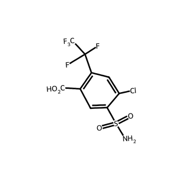 NS(=O)(=O)c1cc(C(=O)O)c(C(F)(F)C(F)(F)F)cc1Cl